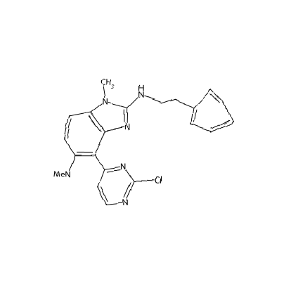 CNc1ccc2c(nc(NCCc3ccccc3)n2C)c1-c1ccnc(Cl)n1